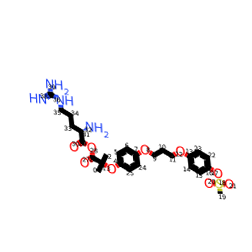 CC(C)(Oc1ccc(OCCCOc2ccc(OS(C)(=O)=O)cc2)cc1)C(=O)OC(=O)[C@@H](N)CCCNC(=N)N